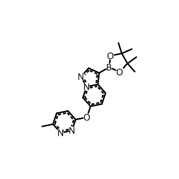 Cc1ccc(Oc2ccc3c(B4OC(C)(C)C(C)(C)O4)cnn3c2)nn1